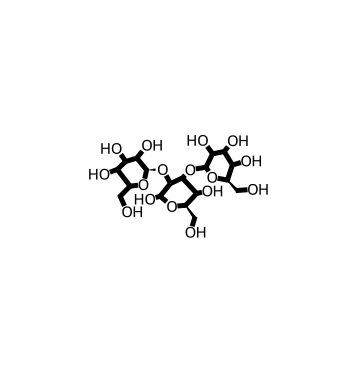 OCC1O[C@@H](OC2C(O)O[C@H](CO)C(O)C2OC2O[C@H](CO)C(O)C(O)C2O)C(O)C(O)C1O